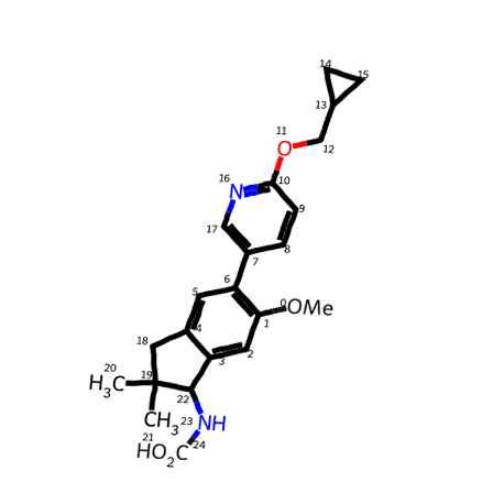 COc1cc2c(cc1-c1ccc(OCC3CC3)nc1)CC(C)(C)C2NC(=O)O